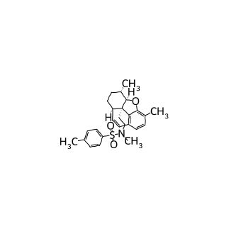 Cc1ccc(S(=O)(=O)N(C)CC[C@@]23c4c5ccc(C)c4O[C@@H]2[C@@H](C)CC[C@@H]3C=C5)cc1